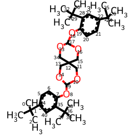 CC(C)(C)c1ccc(OC2OCC3(CO2)COC(Oc2ccc(C(C)(C)C)cc2C(C)(C)C)OC3)c(C(C)(C)C)c1